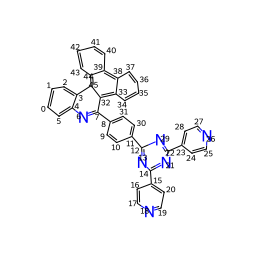 c1ccc2c(c1)nc(-c1ccc(-c3nc(-c4ccncc4)nc(-c4ccncc4)n3)cc1)c1c3ccccc3c3ccccc3c21